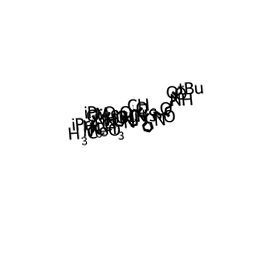 CC[C@H](C)[C@@H]([C@@H](CC(=O)N1CCC[C@H]1[C@H](OC)[C@H](C)C(=O)NC(C[SH]1C=NC(C(=O)OCCNC(=O)OC(C)(C)C)=C1)c1ccccc1)OC)N(C)C(=O)[C@@H](NC(=O)[C@H](C(C)C)N(C)C)C(C)C